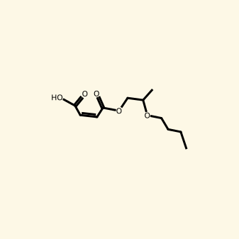 CCCCOC(C)COC(=O)/C=C\C(=O)O